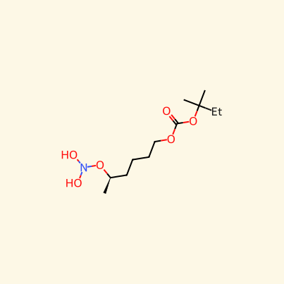 CCC(C)(C)OC(=O)OCCCC[C@@H](C)ON(O)O